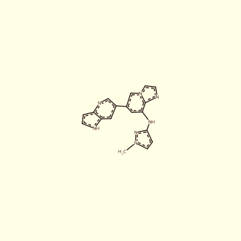 Cn1ccc(Nc2cc(-c3cnc4cc[nH]c4c3)cn3ccnc23)n1